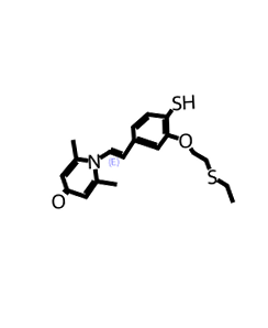 CCSCCOc1cc(/C=C/n2c(C)cc(=O)cc2C)ccc1S